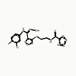 O=C(NCCOc1nonc1/C(=N\O)Nc1ccc(F)c(Cl)c1)c1nnn[nH]1